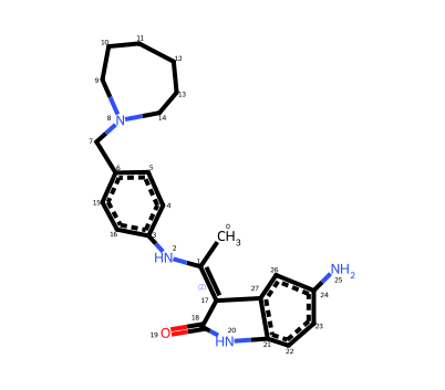 C/C(Nc1ccc(CN2CCCCCC2)cc1)=C1/C(=O)Nc2ccc(N)cc21